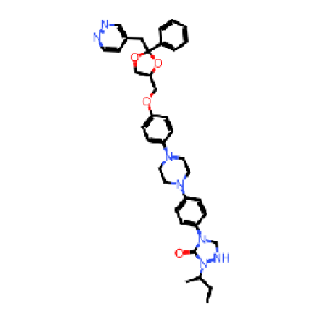 CCC(C)N1NCN(c2ccc(N3CCN(c4ccc(OCC5COC(Cc6ccnnc6)(c6ccccc6)O5)cc4)CC3)cc2)C1=O